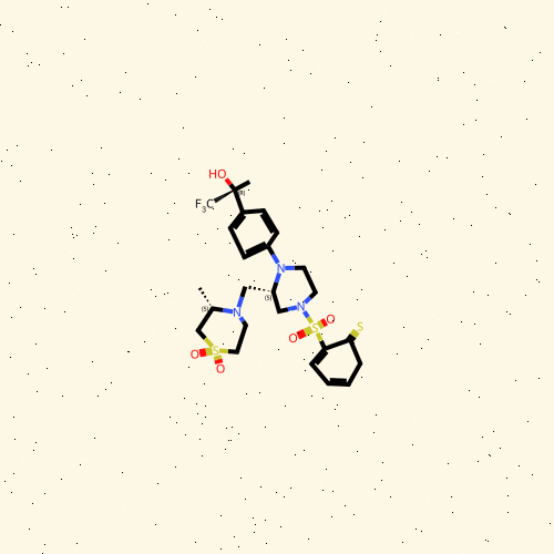 C[C@H]1CS(=O)(=O)CCN1C[C@H]1CN(S(=O)(=O)C2=CC=CCC2=S)CCN1c1ccc([C@@](C)(O)C(F)(F)F)cc1